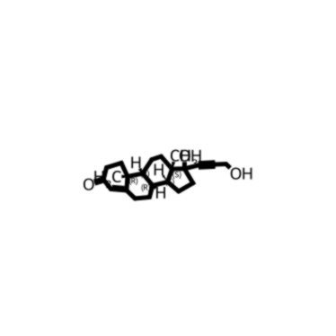 C[C@]12CCC(=O)C=C1CC[C@@H]1[C@H]2CC[C@@]2(C)[C@H]1CCC2(O)C#CCO